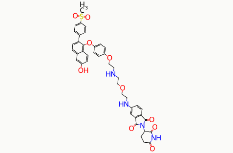 CS(=O)(=O)c1ccc(-c2ccc3cc(O)ccc3c2Oc2ccc(OCCNCCOCCNc3ccc4c(c3)C(=O)N(C3CCC(=O)NC3=O)C4=O)cc2)cc1